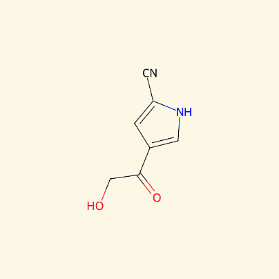 N#Cc1cc(C(=O)CO)c[nH]1